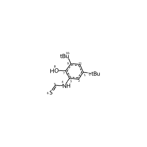 CC(C)(C)c1cc(NC=S)c(O)c(C(C)(C)C)c1